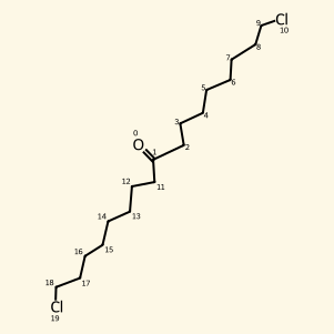 O=C(CCCCCCCCCl)CCCCCCCCCl